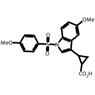 COc1ccc(S(=O)(=O)n2cc(C3CC3C(=O)O)c3cc(OC)ccc32)cc1